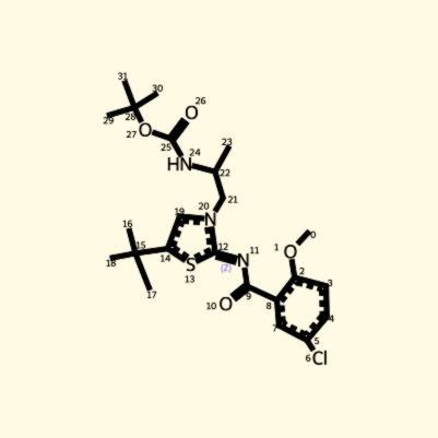 COc1ccc(Cl)cc1C(=O)/N=c1\sc(C(C)(C)C)cn1CC(C)NC(=O)OC(C)(C)C